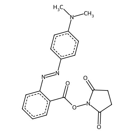 CN(C)c1ccc(N=Nc2ccccc2C(=O)ON2C(=O)CCC2=O)cc1